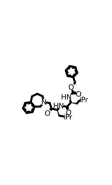 CC(C)C[C@H](NC(=O)[C@H](CC(C)C)NC(=O)OCc1ccccc1)C(=O)CN1CCCc2ccccc2C1